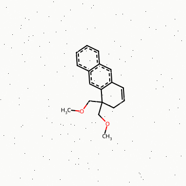 COCC1(COC)CC=Cc2cc3ccccc3cc21